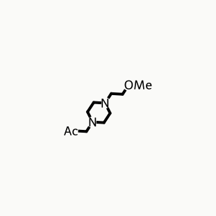 COCCN1CCN(CC(C)=O)CC1